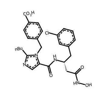 CCCCc1ncc(C(=O)N[C@@H](CC(=O)NO)Cc2cccc(Cl)c2)n1Cc1ccc(C(=O)O)cc1